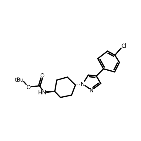 CC(C)(C)OC(=O)N[C@H]1CC[C@H](n2cc(-c3ccc(Cl)cc3)cn2)CC1